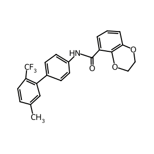 Cc1ccc(C(F)(F)F)c(-c2ccc(NC(=O)c3cccc4c3OCCO4)cc2)c1